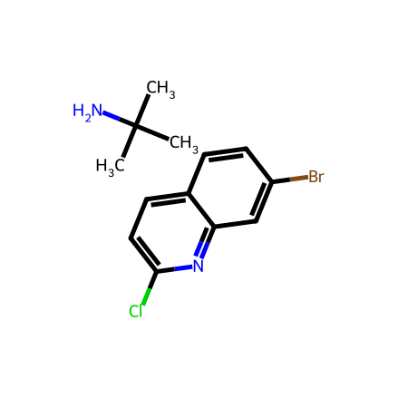 CC(C)(C)N.Clc1ccc2ccc(Br)cc2n1